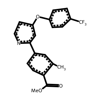 COC(=O)c1ccc(-c2cc(Oc3ccc(C(F)(F)F)cc3)ccn2)cc1C